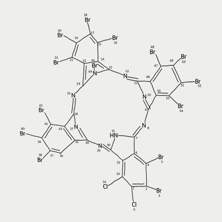 Clc1c(Br)c(Br)c2c3nc4nc(nc5c6c(Br)c(Br)c(Br)c(Br)c6c(nc6nc(nc([nH]3)c2c1Cl)-c1cc(Br)c(Br)c(Br)c1-6)n5Br)-c1c(Br)c(Br)c(Br)c(Br)c1-4